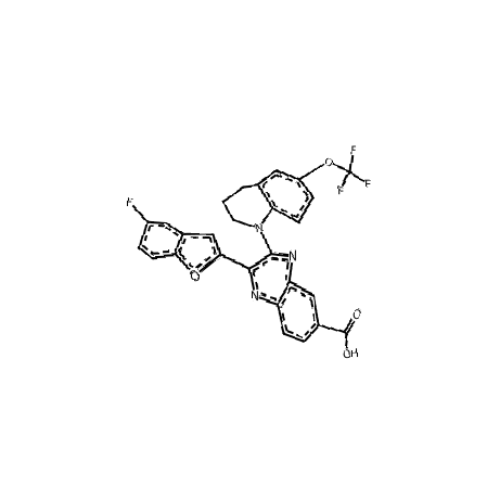 O=C(O)c1ccc2nc(-c3cc4cc(F)ccc4o3)c(N3CCCc4cc(OC(F)(F)F)ccc43)nc2c1